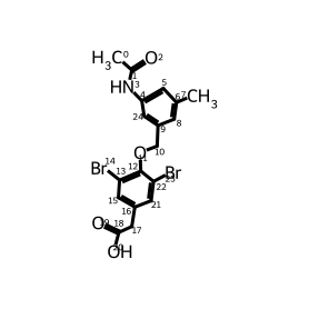 CC(=O)Nc1cc(C)cc(COc2c(Br)cc(CC(=O)O)cc2Br)c1